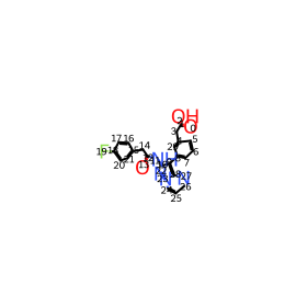 O=C(O)Cc1cccc(-c2c(NC(=O)Cc3ccc(F)cc3)nn3cccnc23)c1